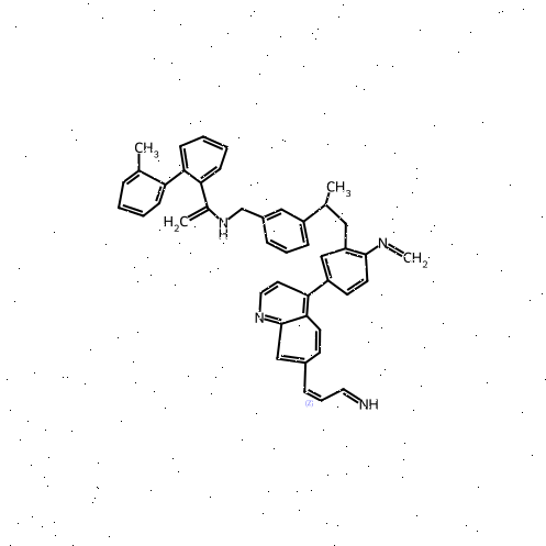 C=Nc1ccc(-c2ccnc3cc(/C=C\C=N)ccc23)cc1CC(C)c1cccc(CNC(=C)c2ccccc2-c2ccccc2C)c1